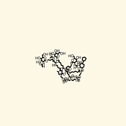 CCCN(CCOP(=O)(O)OCCN(CCOP(=O)(O)OCCN(OC1CCCC(C2CCCCC2)CC1)C(=O)CCCCCNC(=O)CCCCCOC1OC(CO)C(O)C(O)C1NC(C)=O)C(=O)CCCCCNC(=O)CCCCCOC1OC(CO)C(O)C(O)C1NC(C)=O)C(=O)CCCCCNC(=O)CCCCCOC1OC(CO)C(O)C(O)C1NC(C)=O